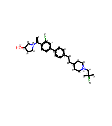 C=C(c1ccc(-c2ccc(CCC3CCN(CC(C)(C)F)CC3)cc2)cc1F)N1CCC(O)C1